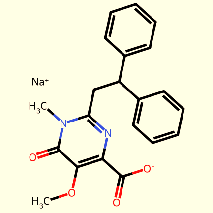 COc1c(C(=O)[O-])nc(CC(c2ccccc2)c2ccccc2)n(C)c1=O.[Na+]